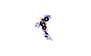 Cc1cnc(-c2nc3cc4c(cc3o2)C[C@H]2N(C(=O)c3ccc5nc[nH]c5c3)CC[C@]4(C)C2(C)C)cn1